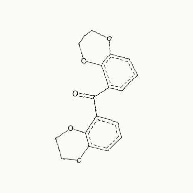 O=C(c1cccc2c1OCCO2)c1cccc2c1OCCO2